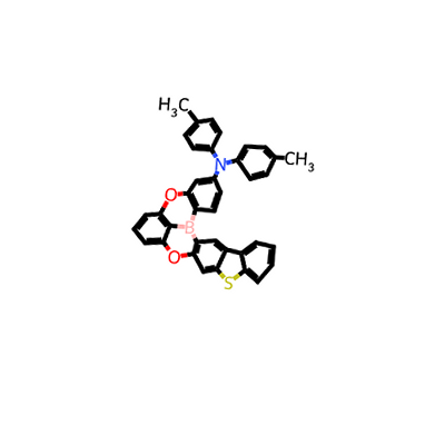 Cc1ccc(N(c2ccc(C)cc2)c2ccc3c(c2)Oc2cccc4c2B3c2cc3c(cc2O4)sc2ccccc23)cc1